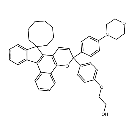 OCCOc1ccc(C2(c3ccc(N4CCOCC4)cc3)C=Cc3c4c(c5ccccc5c3O2)-c2ccccc2C42CCCCCCC2)cc1